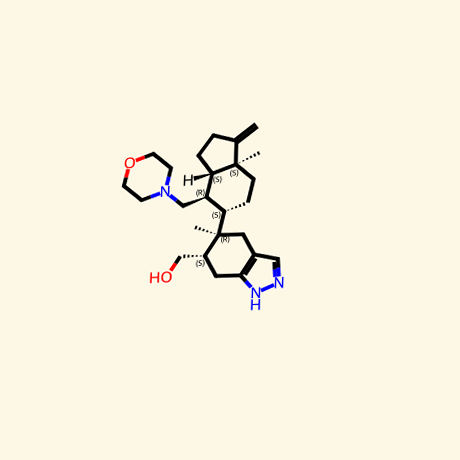 C=C1CC[C@H]2[C@H](CN3CCOCC3)[C@@H]([C@@]3(C)Cc4cn[nH]c4C[C@@H]3CO)CC[C@]12C